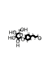 O=CC=Cc1ccc(OC2O[C@@H](CO)[C@H](O)[C@@H](O)[C@@H]2O)cc1